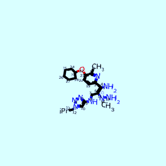 Cc1nc(/C(N)=C(\CNc2cn(CC(C)C)nn2)N(C)N)ccc1OC1CCCCC1